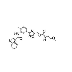 COCCNC(=O)OCc1nc(-c2ccc(C)c(NC(=O)c3cnc4ccccn34)c2)no1